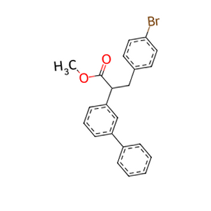 COC(=O)C(Cc1ccc(Br)cc1)c1cccc(-c2ccccc2)c1